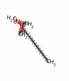 C=CC(=O)OCC(COC(CCCCCCCCCCCCCCCCCCCCCCCCCCC)OC(=O)C=C)OC(=O)C=C